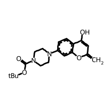 C=C1C=C(O)c2ccc(N3CCN(C(=O)OC(C)(C)C)CC3)cc2O1